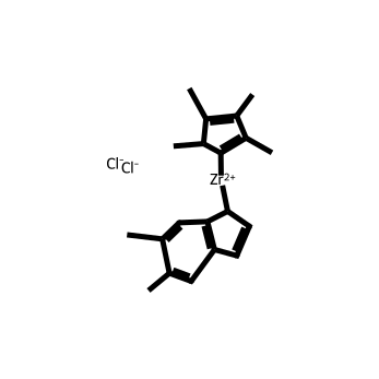 CC1=C(C)C(C)[C]([Zr+2][CH]2C=Cc3cc(C)c(C)cc32)=C1C.[Cl-].[Cl-]